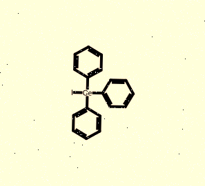 [I][Ge]([c]1ccccc1)([c]1ccccc1)[c]1ccccc1